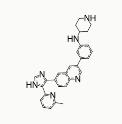 Cc1cccc(-c2[nH]cnc2-c2ccc3ncc(-c4cccc(NC5CCNCC5)c4)cc3c2)n1